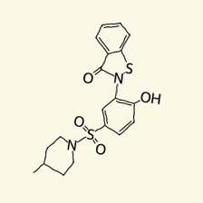 CC1CCN(S(=O)(=O)c2ccc(O)c(-n3sc4ccccc4c3=O)c2)CC1